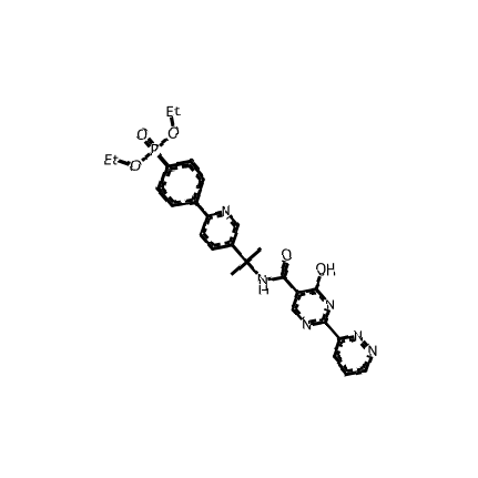 CCOP(=O)(OCC)c1ccc(-c2ccc(C(C)(C)NC(=O)c3cnc(-c4cccnn4)nc3O)cn2)cc1